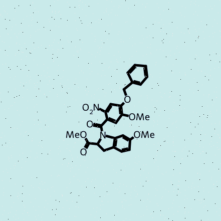 COC(=O)C1Cc2ccc(OC)cc2N1C(=O)c1cc(OC)c(OCc2ccccc2)cc1[N+](=O)[O-]